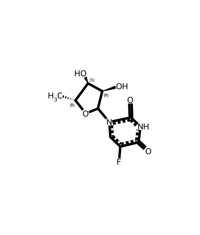 C[C@H]1OC(n2cc(F)c(=O)[nH]c2=O)[C@H](O)[C@@H]1O